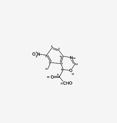 Cc1c([N+](=O)[O-])ccc2c1C(C(=O)C=O)OC=N2